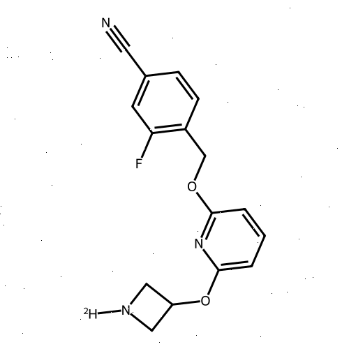 [2H]N1CC(Oc2cccc(OCc3ccc(C#N)cc3F)n2)C1